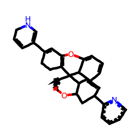 C1=CCC2C(=C1)OC1=C(CCC(C3=CNCC=C3)=C1)C21c2ccccc2OC2CC(c3ccccn3)C=CC21